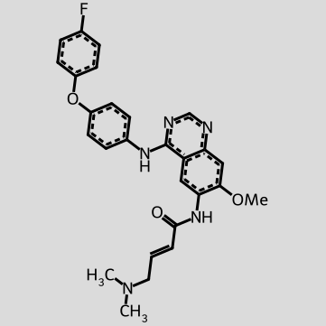 COc1cc2ncnc(Nc3ccc(Oc4ccc(F)cc4)cc3)c2cc1NC(=O)C=CCN(C)C